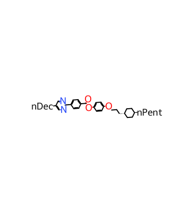 CCCCCCCCCCc1cnc(-c2ccc(C(=O)Oc3ccc(OCCC[C@H]4CC[C@H](CCCCC)CC4)cc3)cc2)nc1